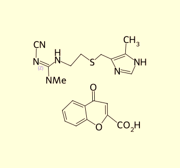 CN/C(=N/C#N)NCCSCc1nc[nH]c1C.O=C(O)c1cc(=O)c2ccccc2o1